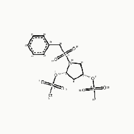 CCS(=O)(=O)O[C@H]1C[C@@H](OS(C)(=O)=O)CN1S(=O)(=O)Cc1ccccc1